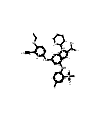 CCOc1ccc(Nc2cc(Nc3ccc(C)cc3S(C)(=O)=O)c3nc(C(F)F)n(C4CCCCO4)c3n2)nc1C#N